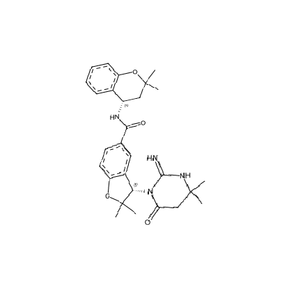 CC1(C)CC(=O)N([C@H]2c3cc(C(=O)N[C@H]4CC(C)(C)Oc5ccccc54)ccc3OC2(C)C)C(=N)N1